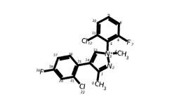 CC1=N[N+](C)(c2c(F)cccc2Cl)C=C1c1ccc(F)cc1Cl